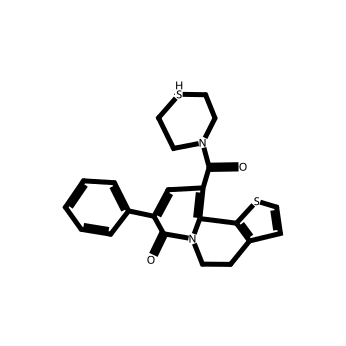 O=C(c1cc(-c2ccccc2)c(=O)n2c1-c1sccc1CC2)N1CC[SH]CC1